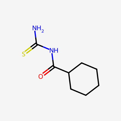 NC(=S)NC(=O)C1CCCCC1